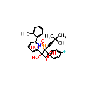 Cc1ccccc1-c1cccc(C(O)(Cc2ccc(F)cc2)C(C#CC(C)(C)C)(C(=O)O)[PH](=O)O)n1